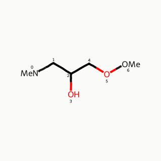 CNCC(O)COOC